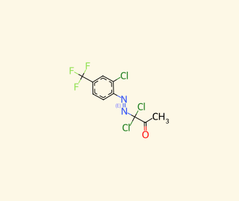 CC(=O)C(Cl)(Cl)/N=N/c1ccc(C(F)(F)F)cc1Cl